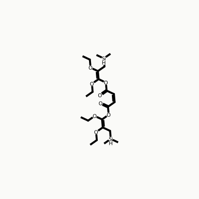 CCO/C(C[SiH](C)C)=C(\OCC)OC(=O)/C=C\C(=O)O/C(OCC)=C(\C[SiH](C)C)OCC